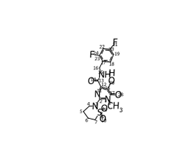 Cn1c(N2CCCCS2(=O)=O)nc(C(=O)NCc2ccc(F)cc2F)c(O)c1=O